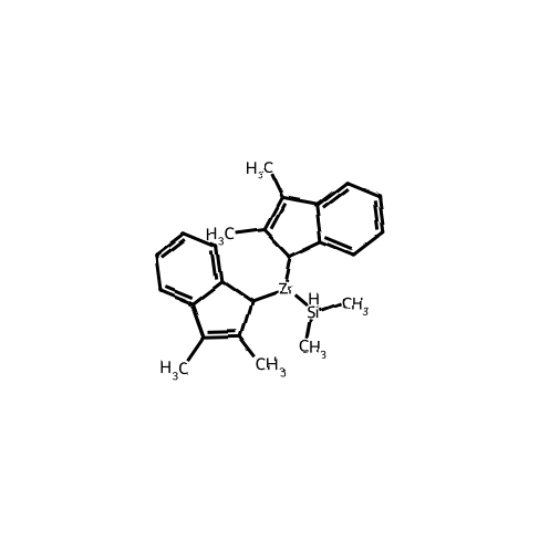 CC1=C(C)[CH]([Zr]([CH]2C(C)=C(C)c3ccccc32)[SiH](C)C)c2ccccc21